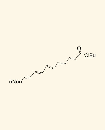 CCCCCCCCCC=CC=CC=CC=CC=CC(=O)OCC(C)C